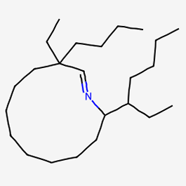 CCCCC(CC)C1CCCCCCCCC(CC)(CCCC)/C=N/1